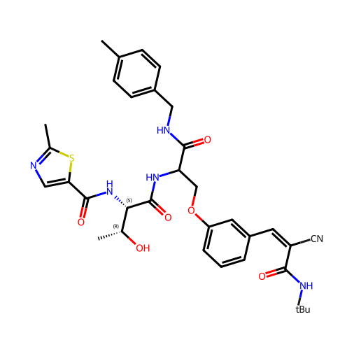 Cc1ccc(CNC(=O)C(COc2cccc(C=C(C#N)C(=O)NC(C)(C)C)c2)NC(=O)[C@@H](NC(=O)c2cnc(C)s2)[C@@H](C)O)cc1